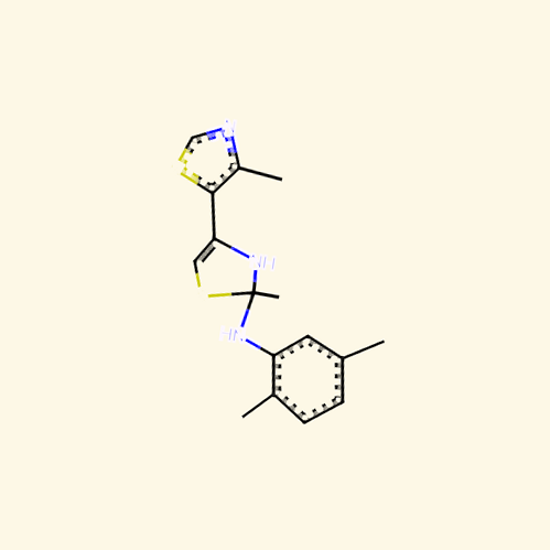 Cc1ccc(C)c(NC2(C)NC(c3scnc3C)=CS2)c1